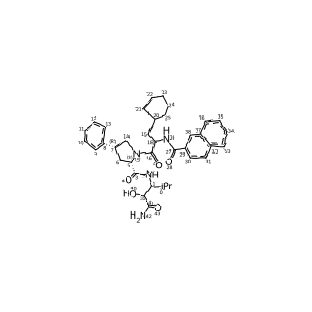 CC(C)C(NC(=O)[C@@H]1C[C@H](c2ccccc2)CN1C(=O)C(CC1CCCCC1)NC(=O)c1ccc2ccccc2c1)C(O)C(N)=O